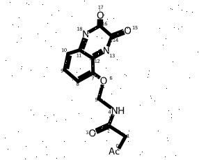 CC(=O)CC(=O)NCOc1cccc2c1=NC(=O)C(=O)N=2